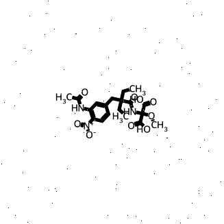 CCC(CC)(Cc1ccc([N+](=O)[O-])c(NC(C)=O)c1)C(=O)NC(OC)(C(=O)O)C(=O)O